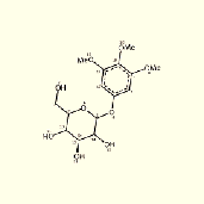 COc1cc(OC2OC(CO)C(O)[C@H](O)C2O)cc(OC)c1OC